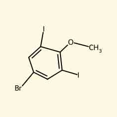 COc1c(I)cc(Br)cc1I